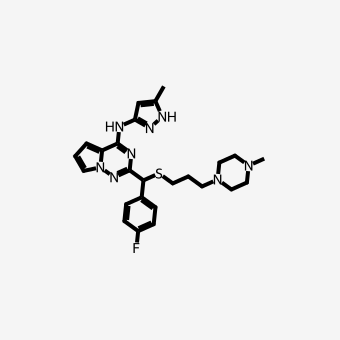 Cc1cc(Nc2nc(C(SCCCN3CCN(C)CC3)c3ccc(F)cc3)nn3cccc23)n[nH]1